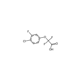 O=C(O)C(F)(F)Oc1ccc(Cl)c(F)c1